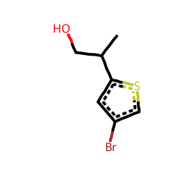 CC(CO)c1cc(Br)cs1